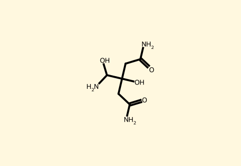 NC(=O)CC(O)(CC(N)=O)C(N)O